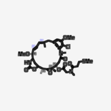 COc1cc2cc(c1Cl)N(C)C(=O)C[C@H](OC(=O)CN(C)C(=O)CCSC)[C@]1(C)OC1[C@H](C)C1CC(NC(=O)O1)[C@H](OC)/C=C/C=C(\C)C2